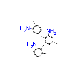 Cc1ccc(C)c(N)c1.Cc1cccc(N)c1C.Cc1ccccc1N